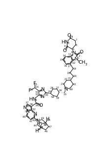 Cn1c(=O)n(C2CCC(=O)NC2=O)c2cccc(CCCC3CCN(C[C@H]4CC[C@H](C5N=C(NC(=O)c6cnn7ccc(N8C[C@H]9CC[C@@H](C8)O9)nc67)C(C(F)F)=N5)CC4)CC3)c21